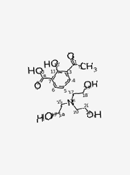 CC(=O)c1cccc(C(=O)O)c1O.OCCN(CCO)CCO